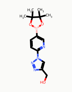 CC1(C)OB(c2ccc(-n3cc(CO)nn3)nc2)OC1(C)C